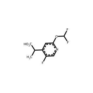 CC(C(=O)O)c1cc(OC(F)F)ncc1F